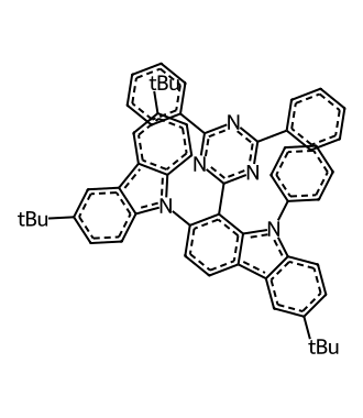 CC(C)(C)c1ccc2c(c1)c1cc(C(C)(C)C)ccc1n2-c1ccc2c3cc(C(C)(C)C)ccc3n(-c3ccccc3)c2c1-c1nc(-c2ccccc2)nc(-c2ccccc2)n1